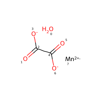 O.O=C([O-])C(=O)[O-].[Mn+2]